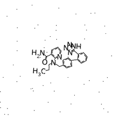 CCCN(Cc1ccc(-c2ccccc2-c2nnn[nH]2)cc1)c1ncccc1C(N)=O